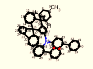 C[C@@H]1C[C@H]2CCC[C@@H](C1)C21c2ccccc2C2(c3ccccc3-c3ccccc32)c2cc(N(c3ccc(-c4ccccc4)cc3)c3ccccc3-c3ccccc3)ccc21